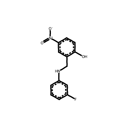 O=[N+]([O-])c1ccc(O)c(CNc2cccc(F)c2)c1